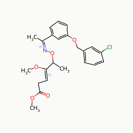 COC(=O)C/C=C(\OC)C(C)O/N=C(/C)c1cccc(OCc2cccc(Cl)c2)c1